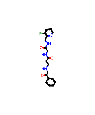 O=C(CCNCC(=O)c1ccccc1)NCC(=O)NCc1ncccc1F